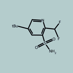 CC(C)(C)c1cnc(C(F)F)c(S(N)(=O)=O)c1